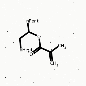 C=C(C)C(=O)OC(CCCCC)CCCCCCCC